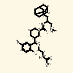 CNCC(CC12CC3CC(CC(C3)C1)C2)NC(=O)N1CCCC(C(OCCNC(=O)O)c2cc(F)ccc2F)C1